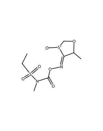 CCS(=O)(=O)N(C)C(=O)ON=C1C(C)OC[S+]1[O-]